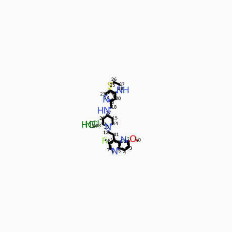 COc1ccc2ncc(F)c(CCN3CCC(NCc4cc5c(cn4)SCCN5)CC3)c2n1.Cl.Cl